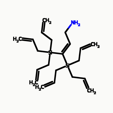 C=CC[Si](CC=C)(CC=C)C(=CCN)[Si](CC=C)(CC=C)CC=C